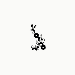 CCN(OC)C(=O)COc1ccc(C2NC(=O)N([C@H](C(=O)Nc3nc(C(C)=O)cs3)[C@@H](C)c3ccccc3)C2=O)cc1